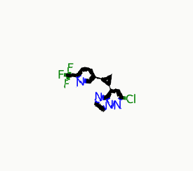 FC(F)(F)c1ccc([C@H]2C[C@@H]2c2cc(Cl)nn3ccnc23)cn1